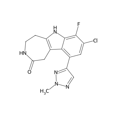 Cn1ncc(-c2cc(Cl)c(F)c3[nH]c4c(c23)CC(=O)NCC4)n1